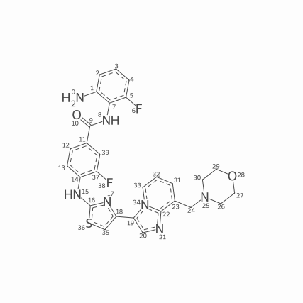 Nc1cccc(F)c1NC(=O)c1ccc(Nc2nc(-c3cnc4c(CN5CCOCC5)cccn34)cs2)c(F)c1